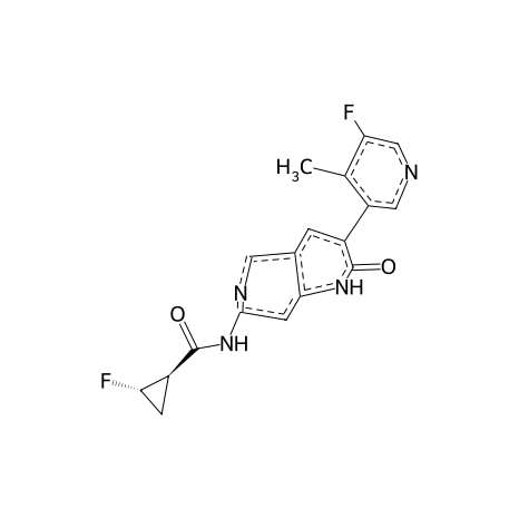 Cc1c(F)cncc1-c1cc2cnc(NC(=O)[C@H]3C[C@@H]3F)cc2[nH]c1=O